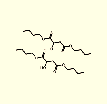 CCCCOC(=O)CC(O)C(=O)OCCCC.CCCCOC(=O)CC(O)C(=O)OCCCC